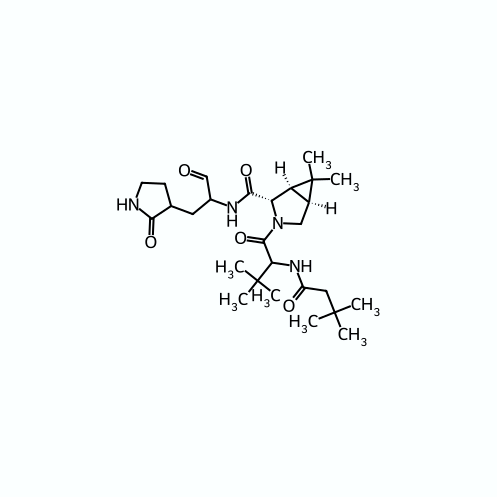 CC(C)(C)CC(=O)NC(C(=O)N1C[C@H]2[C@@H]([C@H]1C(=O)NC(C=O)CC1CCNC1=O)C2(C)C)C(C)(C)C